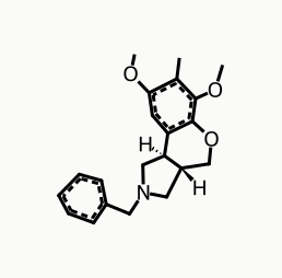 COc1cc2c(c(OC)c1C)OC[C@@H]1CN(Cc3ccccc3)C[C@@H]21